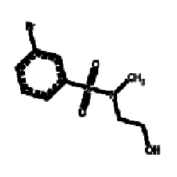 CN(CCO)S(=O)(=O)c1cccc(Br)c1